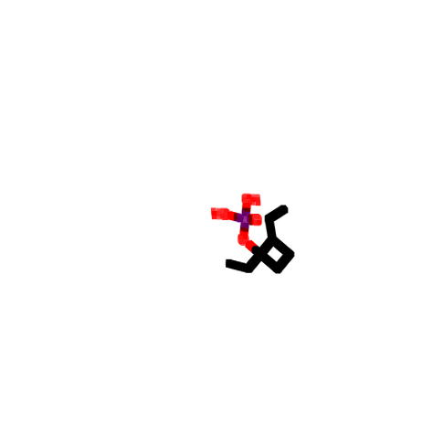 CCC1CCC1(CC)OP(=O)(O)O